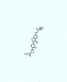 CNC(=O)COc1ccc2c(c1)CCN(c1ccc(N3CC[C@@H](NC)C3)c(F)c1)C2=O